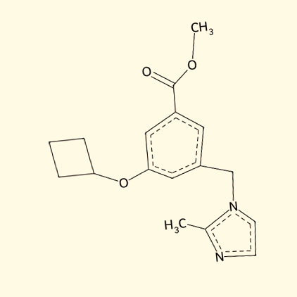 COC(=O)c1cc(Cn2ccnc2C)cc(OC2CCC2)c1